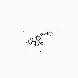 CC(C)(C)OC(=O)Nc1ccc(OCCN2CCCC2)cc1[N+](=O)[O-]